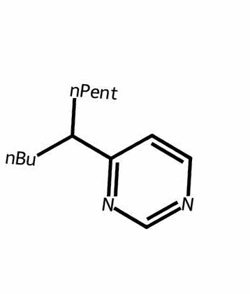 CCCCCC(CCCC)c1ccncn1